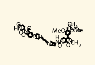 COc1cc(-c2cn(C)c(=O)c3c2CCN(C(=O)NC2CC4CN(CCCCN5CCN(c6ccc7c(c6)C(=O)N(C6CCC(=O)NC6=O)C7=O)CC5)CC42)C3)cc(OC)c1CN(C)C